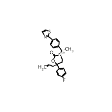 C=CC[C@]1(c2ccc(F)cc2)CCN([C@@H](C)c2ccc(-c3nccs3)cc2)C(=O)O1